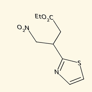 CCOC(=O)CC(C[N+](=O)[O-])c1nccs1